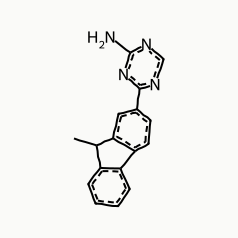 CC1c2ccccc2-c2ccc(-c3ncnc(N)n3)cc21